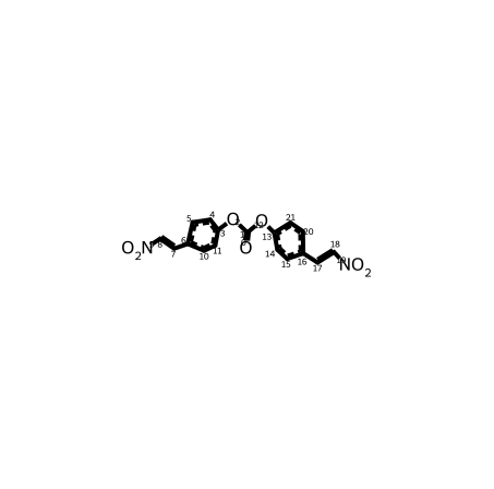 O=C(Oc1ccc(/C=C/[N+](=O)[O-])cc1)Oc1ccc(/C=C/[N+](=O)[O-])cc1